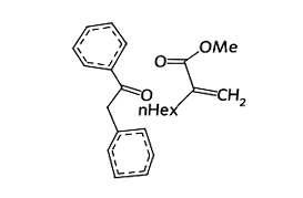 C=C(CCCCCC)C(=O)OC.O=C(Cc1ccccc1)c1ccccc1